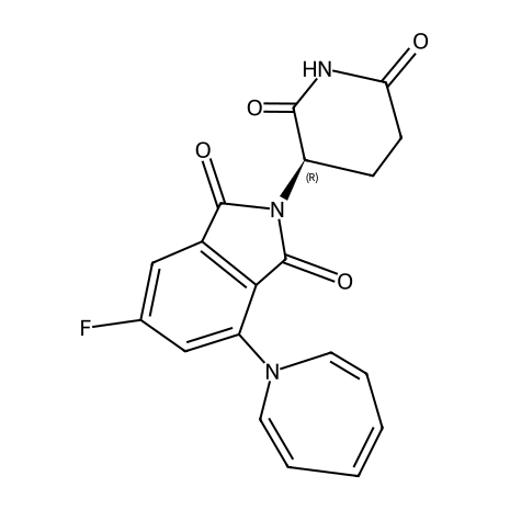 O=C1CC[C@@H](N2C(=O)c3cc(F)cc(N4C=CC=CC=C4)c3C2=O)C(=O)N1